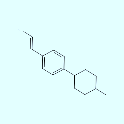 CC(=O)C=Cc1ccc(C2CCC(C)CC2)cc1